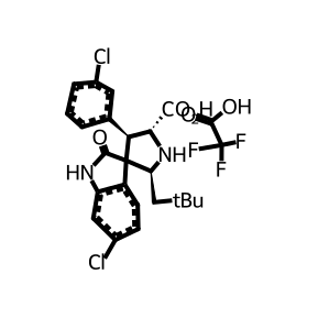 CC(C)(C)C[C@@H]1N[C@@H](C(=O)O)[C@H](c2cccc(Cl)c2)C12C(=O)Nc1cc(Cl)ccc12.O=C(O)C(F)(F)F